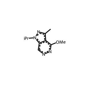 COc1nncc2c1c(C)nn2C(C)C